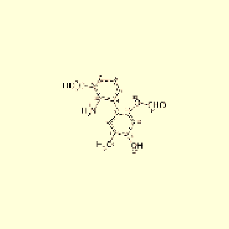 Cc1cc(-c2cccc(C(=O)O)c2N)c(OC=O)cc1O